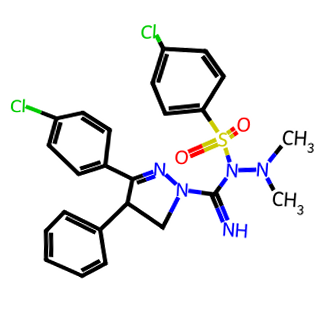 CN(C)N(C(=N)N1CC(c2ccccc2)C(c2ccc(Cl)cc2)=N1)S(=O)(=O)c1ccc(Cl)cc1